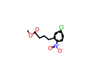 COC(=O)CCCc1cc(Cl)ccc1[N+](=O)[O-]